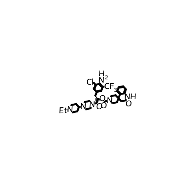 CCN1CCC(N2CCN(C(=O)[C@@H](Cc3cc(Cl)c(N)c(C(F)(F)F)c3)OC(=O)N3CCC4(CC3)CC(=O)Nc3ccccc34)CC2)CC1